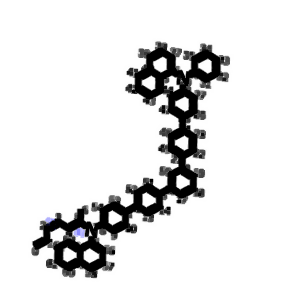 C=C/C=C\C=C(/C)N(c1ccc(-c2ccc(-c3cccc(-c4ccc(-c5ccc(N(c6ccccc6)c6cccc7ccccc67)cc5)cc4)c3)cc2)cc1)c1cccc2ccccc12